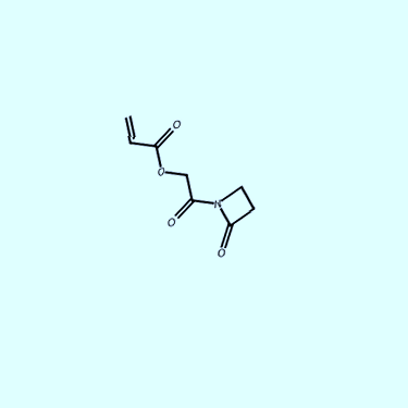 C=CC(=O)OCC(=O)N1CCC1=O